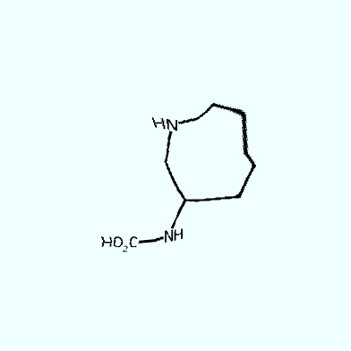 O=C(O)NC1CCCCNC1